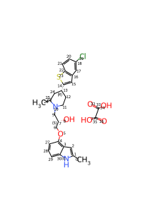 Cc1cc2c(OC[C@@H](O)CN3CC[C@@H](c4cc5cc(Cl)ccc5s4)C[C@@H]3C)cccc2[nH]1.O=C(O)C(=O)O